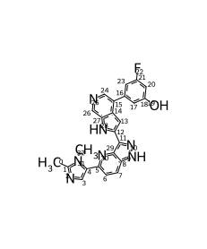 Cc1ncc(-c2ccc3[nH]nc(-c4cc5c(-c6cc(O)cc(F)c6)cncc5[nH]4)c3n2)n1C